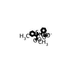 COC(=O)c1c(Nc2ccccc2[N+](=O)[O-])sc2ccc(C)cc12